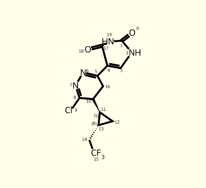 O=c1[nH]cc(C2=NN=C(Cl)C([C@H]3C[C@@H]3CC(F)(F)F)C2)c(=O)[nH]1